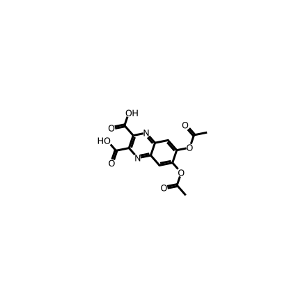 CC(=O)Oc1cc2nc(C(=O)O)c(C(=O)O)nc2cc1OC(C)=O